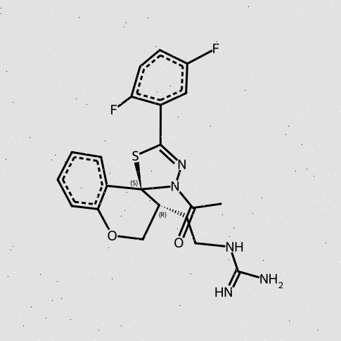 CC(=O)N1N=C(c2cc(F)ccc2F)S[C@@]12c1ccccc1OC[C@H]2CCNC(=N)N